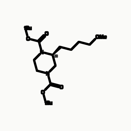 COCCCC[C@H]1CN(C(=O)OC(C)(C)C)CCN1C(=O)OC(C)(C)C